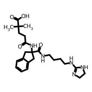 CC(C)(CCC(=O)NC1(C(=O)NCCCCNC2=NCCN2)Cc2ccccc2C1)C(=O)O